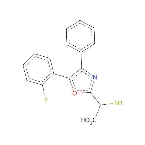 O=C(O)C(S)c1nc(-c2ccccc2)c(-c2ccccc2F)o1